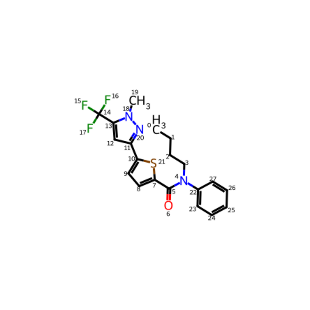 CCCCN(C(=O)c1ccc(-c2cc(C(F)(F)F)n(C)n2)s1)c1ccccc1